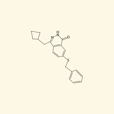 O=c1[nH]nc(CC2CCC2)c2ccc(SCc3ccccc3)cc12